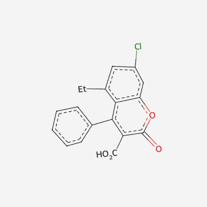 CCc1cc(Cl)cc2oc(=O)c(C(=O)O)c(-c3ccccc3)c12